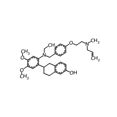 C=CCN(C)CCOc1ccc(CN(CC)c2cc(OC)c(OC)cc2C2CCc3cc(O)ccc3C2)cc1